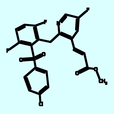 COC(=O)C=Cc1cc(F)cnc1Cc1c(F)ccc(F)c1S(=O)(=O)c1ccc(Cl)cc1